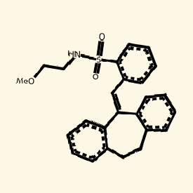 COCCNS(=O)(=O)c1ccccc1C=C1c2ccccc2CCc2ccccc21